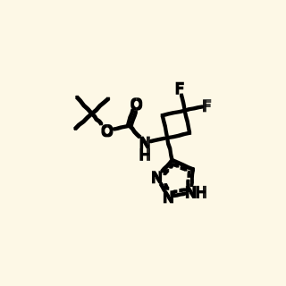 CC(C)(C)OC(=O)NC1(c2c[nH]nn2)CC(F)(F)C1